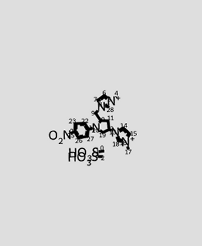 CS(=O)(=O)O.CS(=O)(=O)O.C[n+]1ccn(CC2CC(n3cc[n+](C)c3)CN2c2ccc([N+](=O)[O-])cc2)c1